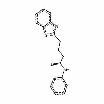 O=C(CCCc1nc2ccccc2s1)Nc1ccccc1